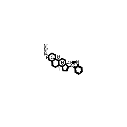 C[C@]12CC[C@H](N=[N+]=[N-])CC1=CC[C@@H]1[C@@H]2CC[C@]2(C)C(n3cnc4ccccc43)=CC[C@@H]12